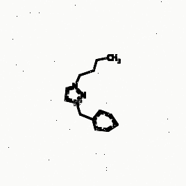 CCCCn1cc[n+](Cc2ccccc2)n1